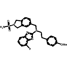 COc1ccc(CCN(Cc2ccc3c(c2)CN(S(N)(=O)=O)C3)c2nc3cccc(F)c3s2)cc1